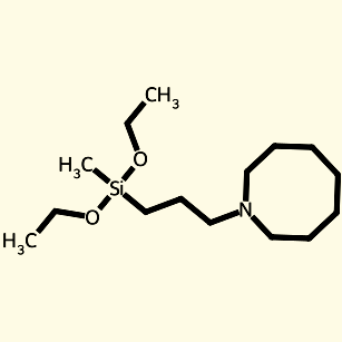 CCO[Si](C)(CCCN1CCCCCCC1)OCC